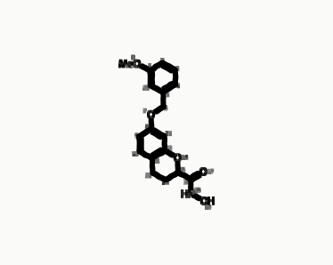 COc1cccc(COc2ccc3c(c2)OC(C(=O)NO)CC3)c1